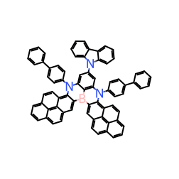 c1ccc(-c2ccc(N3c4cc(-n5c6ccccc6c6ccccc65)cc5c4B(c4cc6ccc7cccc8ccc(c43)c6c78)c3cc4ccc6cccc7ccc(c3N5c3ccc(-c5ccccc5)cc3)c4c67)cc2)cc1